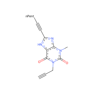 C#CCn1c(=O)c2[nH]c(C#CCCCCC)nc2n(C)c1=O